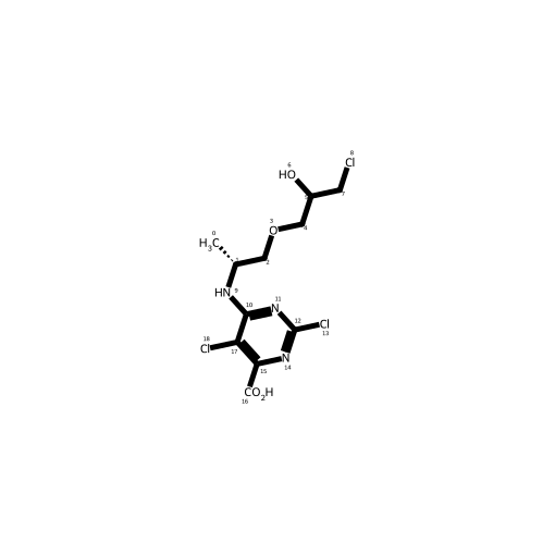 C[C@H](COCC(O)CCl)Nc1nc(Cl)nc(C(=O)O)c1Cl